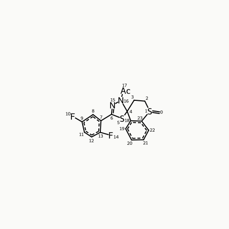 C=S1CCC2(SC(c3cc(F)ccc3F)=NN2C(C)=O)c2ccccc21